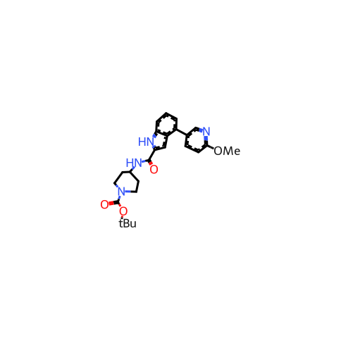 COc1ccc(-c2cccc3[nH]c(C(=O)NC4CCN(C(=O)OC(C)(C)C)CC4)cc23)cn1